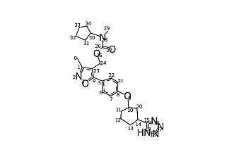 Cc1noc(-c2ccc(OC3CCCC(c4nnn[nH]4)C3)cc2)c1COC(=O)N(C)C1CCCC1